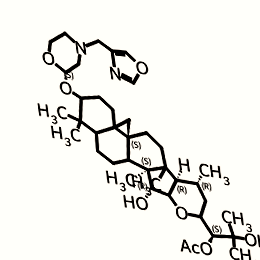 CC(=O)O[C@@H](C1C[C@@H](C)[C@H]2C(O1)[C@H](O)[C@@]1(C)C3CCC4C(C)(C)C(O[C@H]5CN(Cc6cocn6)CCO5)CCC45C[C@@]35CCC21C)C(C)(C)O